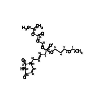 CCOCCCOP(=O)(C/C=C/Cn1ccc(=O)[nH]c1=O)OCOC(=O)OC(C)C